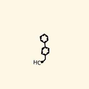 C#CCc1ccc(-c2ccccc2)cc1